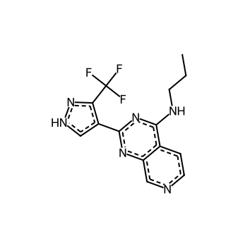 CCCNc1nc(-c2c[nH]nc2C(F)(F)F)nc2cnccc12